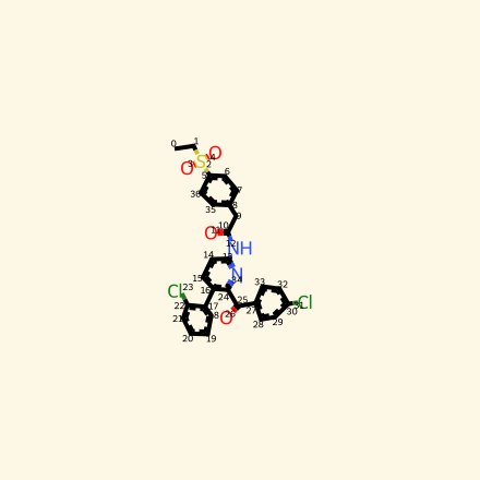 CCS(=O)(=O)c1ccc(CC(=O)Nc2ccc(-c3ccccc3Cl)c(C(=O)c3ccc(Cl)cc3)n2)cc1